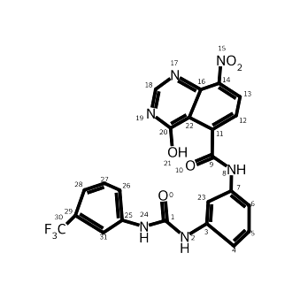 O=C(Nc1cccc(NC(=O)c2ccc([N+](=O)[O-])c3ncnc(O)c23)c1)Nc1cccc(C(F)(F)F)c1